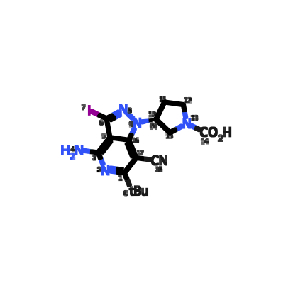 CC(C)(C)c1nc(N)c2c(I)nn([C@H]3CCN(C(=O)O)C3)c2c1C#N